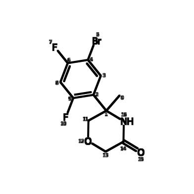 CC1(c2cc(Br)c(F)cc2F)COCC(=O)N1